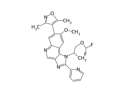 COc1cc2c(cc1-c1c(C)noc1C)ncc1nc(-c3ccccn3)n(C(C)COC(F)F)c12